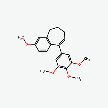 COc1ccc2c(c1)CCCC=C2c1cc(OC)c(OC)c(OC)c1